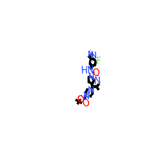 Cc1cnc2c(c1N1CCN(C(=O)OC(C)(C)C)CC1)CCN2C(=O)Nc1cc(F)c2nn(C)cc2c1